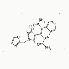 Cc1c(-c2c(C(N)=O)nc3ccccc3c2C(N)=O)c(C(F)(F)F)nn1Cc1ncco1